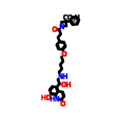 O=C(CCc1ccc(OCCCCCNC[C@H](O)c2ccc(O)c3[nH]c(=O)ccc23)cc1)N1CC(C(=O)O)(c2ccccc2)C1